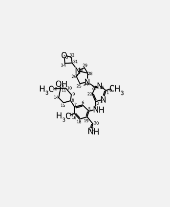 Cc1nc(Nc2cc(C3CCC(C)(O)CC3)c(C)cc2C=N)cc(N2CC3CC2CN3C2COC2)n1